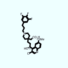 COc1ccc2ncc(Cl)c([C@@H](O)CCC3(CC(=O)O)CCN(CCCc4cc(F)c(F)c(F)c4)CC3)c2c1